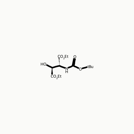 CCOC(=O)[C@@H](O)[C@@H](NC(=O)OC(C)(C)C)C(=O)OCC